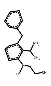 CCN(CCC#N)c1cccc(Cc2ccccc2)c1C(C)N